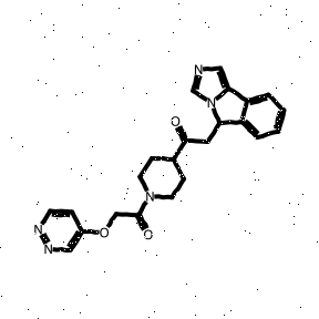 O=C(CC1c2ccccc2-c2cncn21)C1CCN(C(=O)COc2ccnnc2)CC1